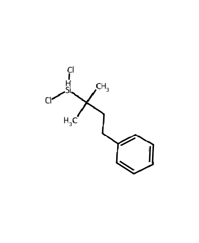 CC(C)(CCc1ccccc1)[SiH](Cl)Cl